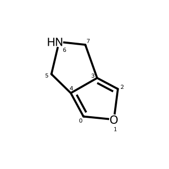 c1occ2c1CNC2